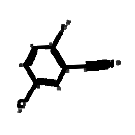 N#Cc1cc(Cl)[c]cc1F